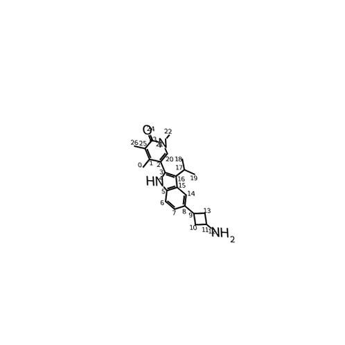 Cc1c(-c2[nH]c3ccc(C4CC(N)C4)cc3c2C(C)C)cn(C)c(=O)c1C